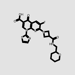 O=C(O)c1cn(-c2nccs2)c2nc(N3CC(C(=O)NCC4CCCCO4)C3)c(F)cc2c1=O